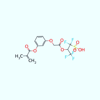 C=C(C)C(=O)Oc1cccc(OCC(=O)OC(C(F)(F)F)C(F)(F)S(=O)(=O)O)c1